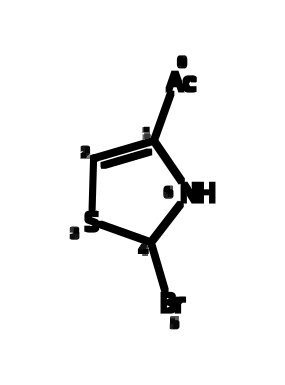 CC(=O)C1=CSC(Br)N1